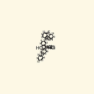 Cl.Cl.Cl.Oc1ccc(CNC2(c3ccccc3F)CCCC2)cc1CN1CCN(c2ccccc2)CC1